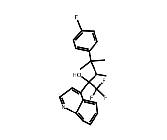 CC(C(C)(C)c1ccc(F)cc1)C(O)(c1ccnc2ccccc12)C(F)(F)F